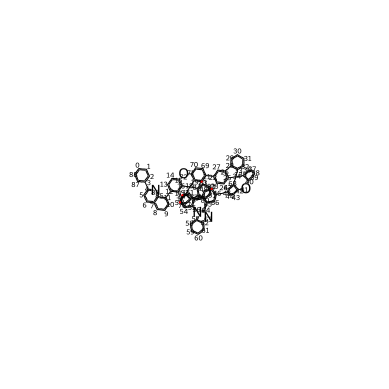 c1ccc(-c2ccc3cccc(-c4ccc5c(c4)C4(c6cc(-c7ccc8c(c7)-c7ccccc7C87c8ccccc8Oc8ccc(-c9ccc%10c%11ccccc%11n%11c%12ccccc%12nc%11c%10c9)cc87)ccc6O5)c5ccccc5-c5ccccc54)c3n2)cc1